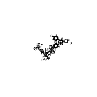 Cc1ccc(-c2cc(C(F)(F)F)nn2-c2ccc(S(=O)(=O)NC(=O)OC[C@H](CC(C)C)N(C)/[N+]([O-])=N/OCOC(=O)C(C)C)cc2)cc1